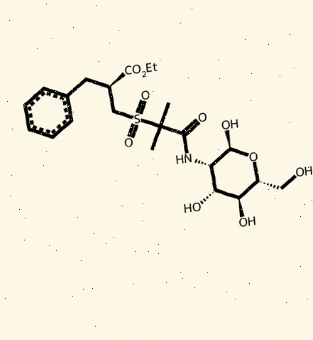 CCOC(=O)[C@H](Cc1ccccc1)CS(=O)(=O)C(C)(C)C(=O)N[C@H]1[C@@H](O)[C@H](O)[C@@H](CO)O[C@@H]1O